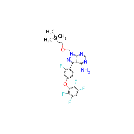 C[Si](C)(C)CCOCn1nc(-c2ccc(Oc3c(F)c(F)cc(F)c3F)cc2F)c2c(N)ncnc21